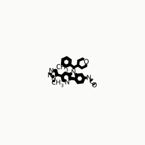 Cc1nnn(C)c1-c1cnc2c3ccc(N=C=O)cc3n(C(c3ccccc3)C3CCOCC3)c2c1